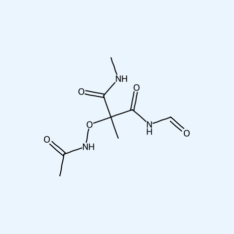 CNC(=O)C(C)(ONC(C)=O)C(=O)NC=O